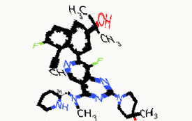 C#Cc1c(F)ccc2cc(C(C)(C)O)cc(-c3ncc4c(N(C)C[C@H]5CCCCN5)nc(N5CCC(C)(O)CC5)nc4c3F)c12